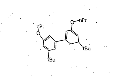 CCCOC1=CC(C(C)(C)C)[C]C(c2cc(OCCC)cc(C(C)(C)C)c2)=C1